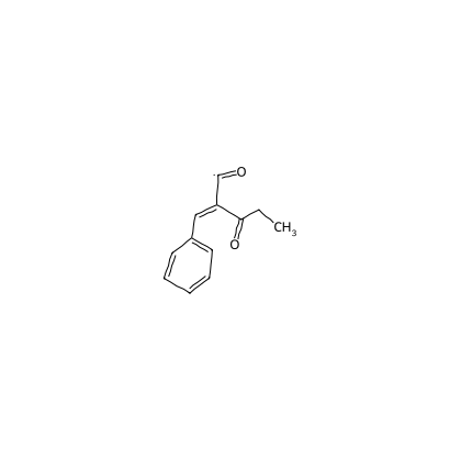 CCC(=O)C([C]=O)=Cc1ccccc1